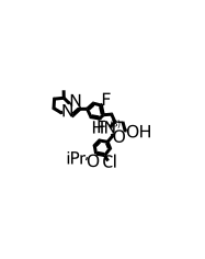 CC(C)Oc1ccc(C(=O)N[C@H](CCO)Cc2c(F)cc(-c3cn4c(n3)C(C)CCC4)cc2F)cc1Cl